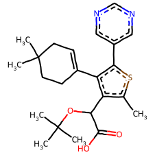 Cc1sc(-c2cncnc2)c(C2=CCC(C)(C)CC2)c1C(OC(C)(C)C)C(=O)O